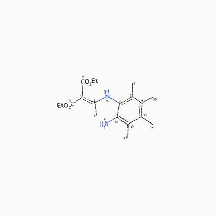 CCOC(=O)C(C(=O)OCC)=C(C)Nc1c(C)c(C)c(C)c(C)c1N